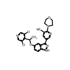 CC(Oc1ccc2[nH]nc(-c3cnc(N4CCOCC4)c(C#N)c3)c2c1)c1c(Cl)cncc1Cl